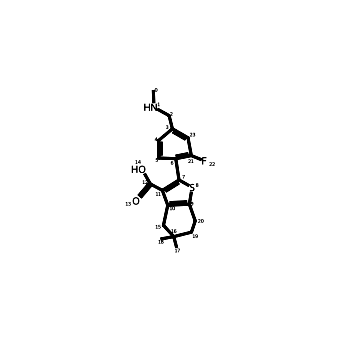 CNCc1ccc(-c2sc3c(c2C(=O)O)CC(C)(C)CC3)c(F)c1